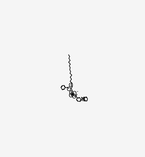 CCCCCCCCCCCCCCCCOCC(COP(=O)([O-])OC(C)c1cccc([N+]23CCC(CC2)CC3)c1)OCc1ccccc1